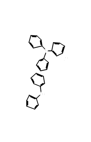 O.c1ccc(N(c2ccccc2)c2ccccc2)cc1.c1ccc(Pc2ccccc2)cc1